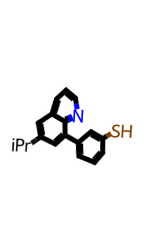 CC(C)c1cc(-c2cccc(S)c2)c2ncccc2c1